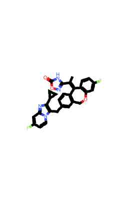 C/C(=C1/c2ccc(Cc3c(C4CC4)nc4cc(F)ccn34)cc2COc2cc(F)ccc21)c1noc(=O)[nH]1